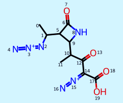 CC(N=[N+]=[N-])C1C(=O)NC1C(C)C(=O)C(=[N+]=[N-])C(=O)O